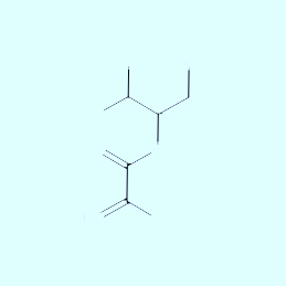 C=C(C)C(=O)O[C](CC)C(C)C